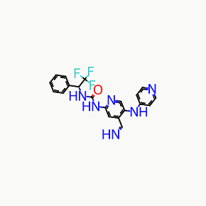 N=Cc1cc(NC(=O)N[C@@H](c2ccccc2)C(F)(F)F)ncc1Nc1ccncc1